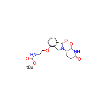 CC(C)(C)OC(=O)NCCOc1cccc2c1CN(C1CCC(=O)NC1=O)C2=O